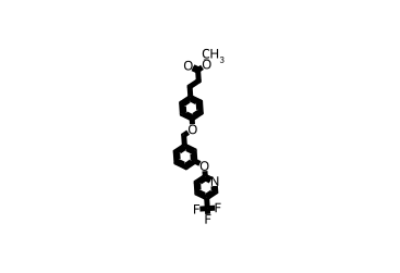 COC(=O)CCc1ccc(OCc2cccc(Oc3ccc(C(F)(F)F)cn3)c2)cc1